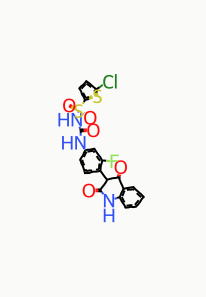 O=C(Nc1ccc(C2C(=O)Nc3ccccc3C2=O)c(F)c1)NS(=O)(=O)c1ccc(Cl)s1